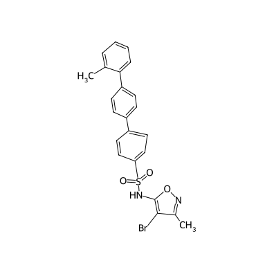 Cc1ccccc1-c1ccc(-c2ccc(S(=O)(=O)Nc3onc(C)c3Br)cc2)cc1